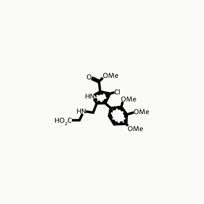 COC(=O)c1[nH]c(CNCC(=O)O)c(-c2ccc(OC)c(OC)c2OC)c1Cl